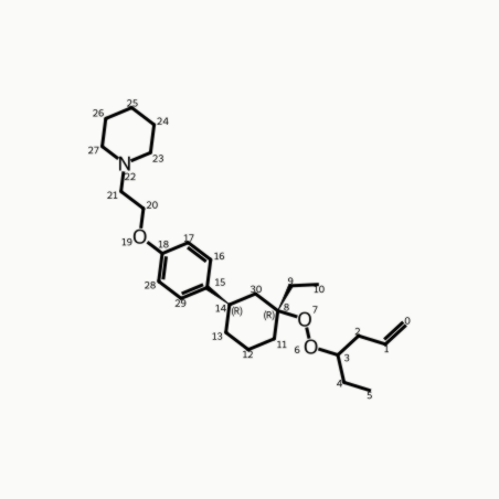 C=CCC(CC)OO[C@]1(CC)CCC[C@@H](c2ccc(OCCN3CCCCC3)cc2)C1